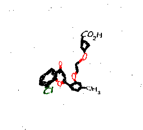 Cc1ccc(-c2cc(=O)c3cccc(Cl)c3o2)c(OCCO[C@H]2C[C@H](C(=O)O)C2)c1